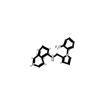 FC(F)(F)c1ccccc1-n1cccc1CNc1cccc2cnccc12